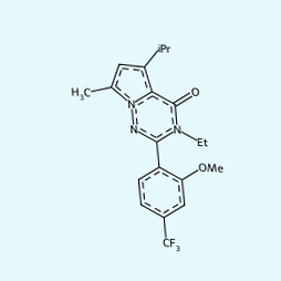 CCn1c(-c2ccc(C(F)(F)F)cc2OC)nn2c(C)cc(C(C)C)c2c1=O